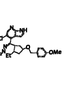 CCC1CC(OCc2ccc(OC)cc2)CC1C(=NN)c1c(Cl)cnc2[nH]ccc12